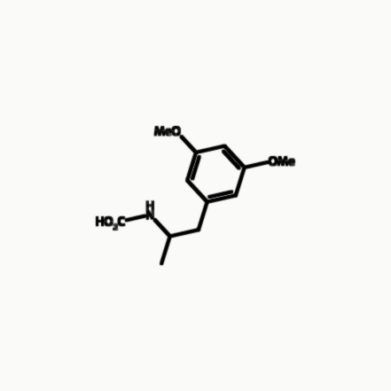 COc1cc(CC(C)NC(=O)O)cc(OC)c1